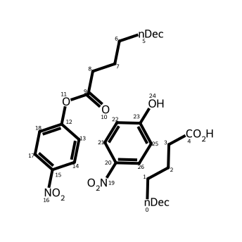 CCCCCCCCCCCCCC(=O)O.CCCCCCCCCCCCCC(=O)Oc1ccc([N+](=O)[O-])cc1.O=[N+]([O-])c1ccc(O)cc1